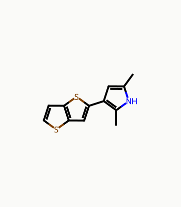 Cc1cc(-c2cc3sccc3s2)c(C)[nH]1